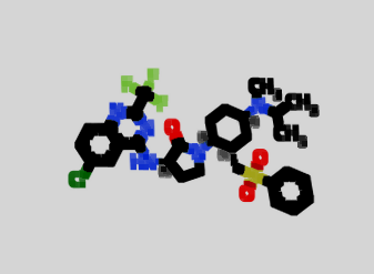 CC(C)N(C)[C@@H]1CC[C@H](N2CC[C@H](Nc3nc(C(F)(F)F)nc4ccc(Cl)cc34)C2=O)[C@@H](CS(=O)(=O)c2ccccc2)C1